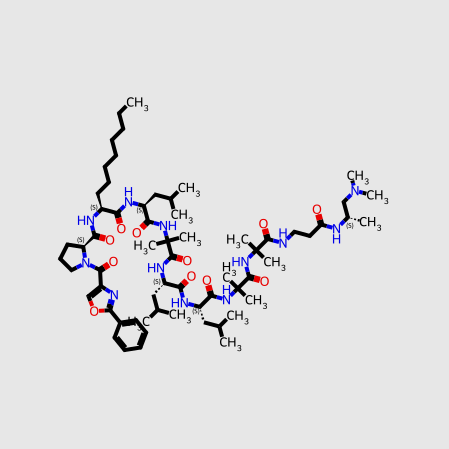 CCCCCCCC[C@H](NC(=O)[C@@H]1CCCN1C(=O)c1coc(-c2ccccc2)n1)C(=O)N[C@@H](CC(C)C)C(=O)NC(C)(C)C(=O)N[C@@H](CC(C)C)C(=O)N[C@@H](CC(C)C)C(=O)NC(C)(C)C(=O)NC(C)(C)C(=O)NCCC(=O)N[C@@H](C)CN(C)C